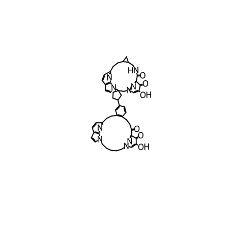 O=C1CCc2ccc(C3CCC4(C3)Cn3cc(O)c(=O)c(n3)C(=O)NCC3CC3CCc3ccc5ccn4c5n3)cc2CCc2ccc3ccn(c3n2)CCCCCn2cc(O)c(=O)c1n2